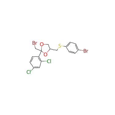 Clc1ccc(C2(CBr)OCC(CSc3ccc(Br)cc3)O2)c(Cl)c1